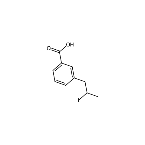 CC(I)Cc1cccc(C(=O)O)c1